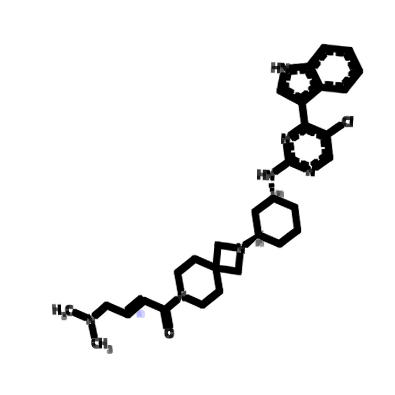 CN(C)C/C=C/C(=O)N1CCC2(CC1)CN([C@@H]1CCC[C@@H](Nc3ncc(Cl)c(-c4c[nH]c5ccccc45)n3)C1)C2